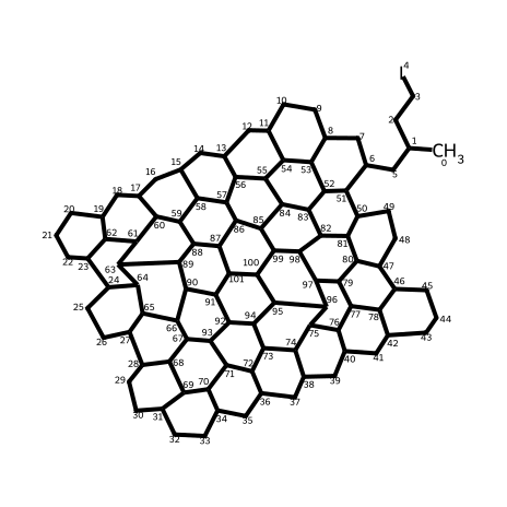 CC(CCI)CC1CC2CCC3CC4CC5CC6CC7CCCC8C9CCC%10C%11CCC%12CCC%13CC%14CC%15CC%16CC%17CCCC%18C%19CCC%20C1C1C2C3C2C4C3C5C4C6C(C78)C5C9C%10C6C7C%11C%12C%13C8C%14C9C%15C%10C%16C(C%17%18)C%11C%19C%20C%12C1C2C1C3C2C4C5C6C3C(C87)C9C4C%10C%11C%12C1C4C23